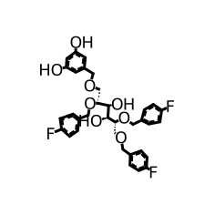 Oc1cc(O)cc(COC[C@@H](OCc2ccc(F)cc2)[C@@H](O)[C@H](O)[C@@H](COCc2ccc(F)cc2)OCc2ccc(F)cc2)c1